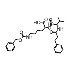 CC(C)C(NC(=O)CCc1ccccc1)[PH](=O)OC(CCCCNC(=O)OCc1ccccc1)C(=O)O